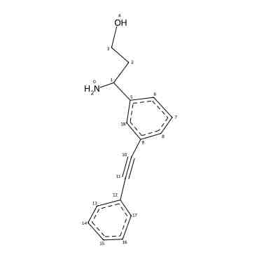 NC(CCO)c1cccc(C#Cc2ccccc2)c1